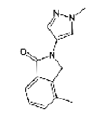 Cc1cccc2c1CN(c1cnn(C)c1)C2=O